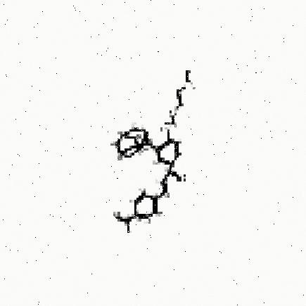 COCCOCOc1ccc(C(=O)/C=C/c2ccc(C(C)C)cc2)cc1C1C2CC3CC(C2)CC1C3